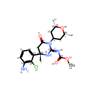 C[C@@H]1CC(N2C(=O)C[C@@](C)(c3cccc(N)c3Cl)N/C2=N\C(=O)OC(C)(C)C)C[C@H](C)O1